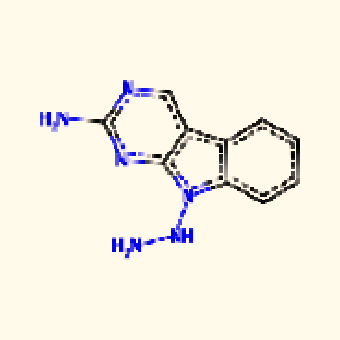 NNn1c2ccccc2c2cnc(N)nc21